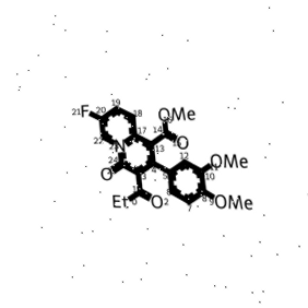 CCC(=O)c1c(-c2ccc(OC)c(OC)c2)c(C(=O)OC)c2ccc(F)cn2c1=O